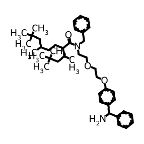 CC(CCC(C(=O)N(CCOCCOc1ccc(C(N)c2ccccc2)cc1)Cc1ccccc1)C(C)CC(C)(C)C)CC(C)(C)C